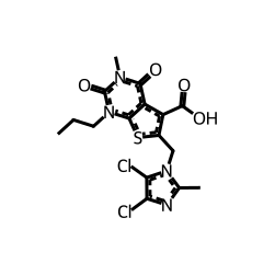 CCCn1c(=O)n(C)c(=O)c2c(C(=O)O)c(Cn3c(C)nc(Cl)c3Cl)sc21